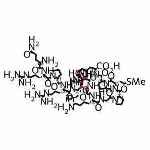 CSCC[C@H](NC(=O)[C@@H]1CCCN1C(=O)CNC(=O)[C@H](CCCCN)NC(=O)[C@H](Cc1c[nH]cn1)NC(=O)[C@H](CO)NC(=O)[C@H](CC(C)C)NC(=O)[C@H](CCCN=C(N)N)NC(=O)[C@@H]1CCCN1C(=O)[C@H](CCCN=C(N)N)NC(=O)[C@@H](N)CCC(N)=O)C(=O)N1CCC[C@H]1C(=O)N[C@@H](Cc1ccccc1)C(=O)O